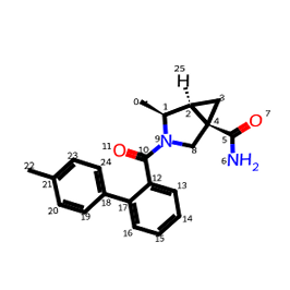 [CH2][C@H]1[C@H]2C[C@]2(C(N)=O)CN1C(=O)c1ccccc1-c1ccc(C)cc1